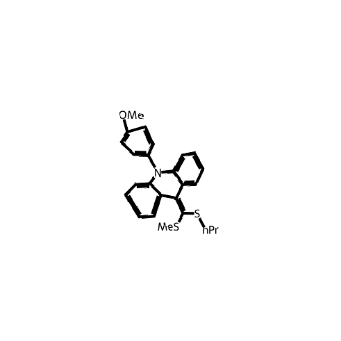 CCCSC(SC)=C1c2ccccc2N(c2ccc(OC)cc2)c2ccccc21